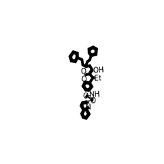 CCC(C1=C(O)CC(CCc2ccccc2)(CCc2ccccc2)OC1=O)c1cccc(NS(=O)(=O)c2ccc3ccccc3n2)c1